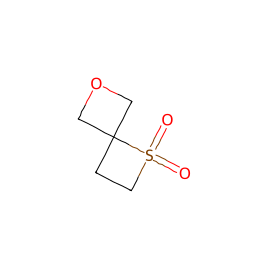 O=S1(=O)CCC12COC2